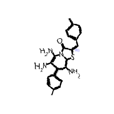 Cc1ccc(/C=c2/sc3n(c2=O)C(N)=C(N)C(c2ccc(C)cc2)C=3N)cc1